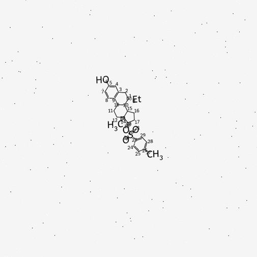 CC[C@H]1Cc2cc(O)ccc2C2CC[C@@]3(C)C(CC[C@@H]3OS(=O)(=O)c3ccc(C)cc3)C21